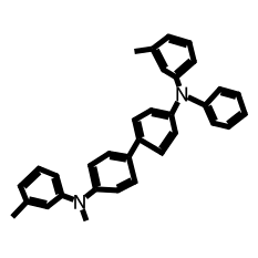 Cc1cccc(N(C)c2ccc(-c3ccc(N(c4ccccc4)c4cccc(C)c4)cc3)cc2)c1